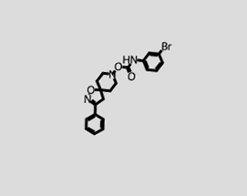 O=C(Nc1cccc(Br)c1)ON1CCC2(CC1)CC(c1ccccc1)=NO2